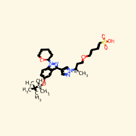 C[C@H](CCOCCCCS(=O)(=O)O)n1cc(-c2nn(C3CCCCO3)c3ccc(O[Si](C)(C)C(C)(C)C)cc23)cn1